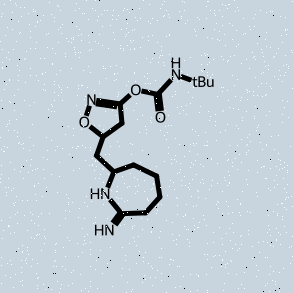 CC(C)(C)NC(=O)OC1=NOC(CC2CCCCC(=N)N2)C1